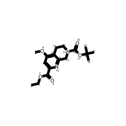 CCOC(=O)c1cc(OC)c2c(n1)CN(C(=O)OC(C)(C)C)CC2